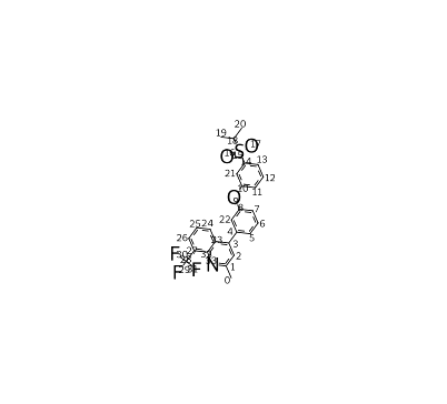 Cc1cc(-c2cccc(Oc3cccc(S(=O)(=O)C(C)C)c3)c2)c2cccc(C(F)(F)F)c2n1